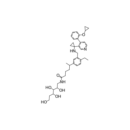 CCc1ccc(C(C)CCCC(=O)NCC(O)C(O)C(O)CCO)cc1CNC1(c2cnccc2-c2ccccc2OC2CC2)CC1